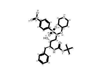 CC(C)(C)OC(=O)N[C@@H](Cc1ccccc1)[C@H](O)CN(OC1CCOCC1)S(=O)(=O)c1ccc([N+](=O)[O-])cc1